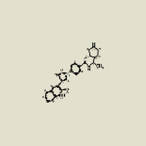 CC(NC(=O)c1ccc(-n2cc(-c3cc4ccccc4[nH]c3=O)nn2)cc1)C1CCNCC1